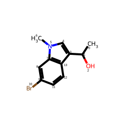 CC(O)c1cn(C)c2cc(Br)ccc12